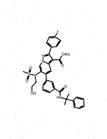 COC(=O)c1c(-c2ccc(F)cc2)nn2cc(N(CCO)S(C)(=O)=O)c(-c3cccc(C(=O)NC(C)(C)c4ccccc4)c3)cc12